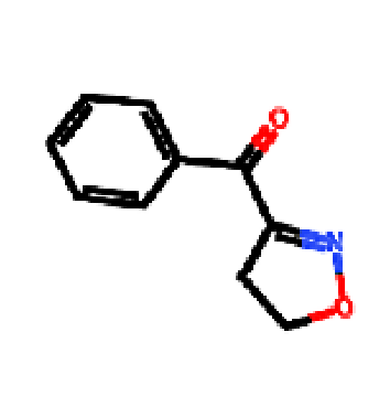 O=C(C1=NOCC1)c1ccccc1